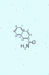 NC(=O)c1ccc2ccccc2c1